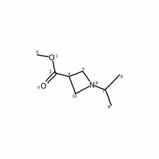 COC(=O)C1CN(C(C)C)C1